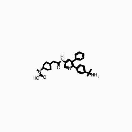 CN(C(=O)O)C1CCC(CC(=O)Nc2cnc(-c3ccc(C(C)(C)N)cc3)c(-c3ccccc3)c2)CC1